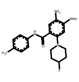 CNc1cc(N2CCC(F)CC2)c(C(=O)Nc2ccc(C)cc2)cc1[N+](=O)[O-]